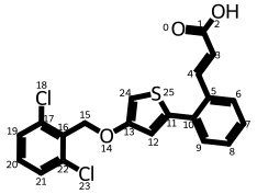 O=C(O)/C=C/c1ccccc1-c1cc(OCc2c(Cl)cccc2Cl)cs1